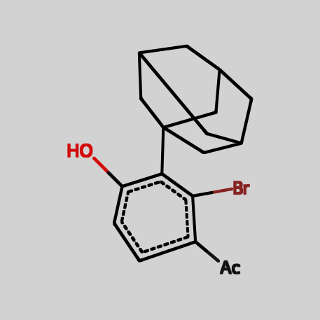 CC(=O)c1ccc(O)c(C23CC4CC(CC(C4)C2)C3)c1Br